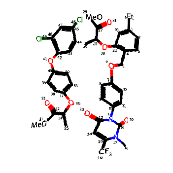 CCc1ccc(COc2ccc(-n3c(=O)cc(C(F)(F)F)n(C)c3=O)cc2)c(OC(C)C(=O)OC)c1.COC(=O)C(C)Oc1ccc(Oc2ccc(Cl)cc2Cl)cc1